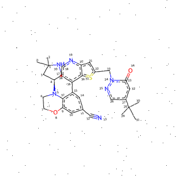 CC1(C)C[C@H](N2CCOc3cc(C#N)cc(-c4ccnc5cc(Cn6ncc(C(C)(C)C)cc6=O)sc45)c32)CN1